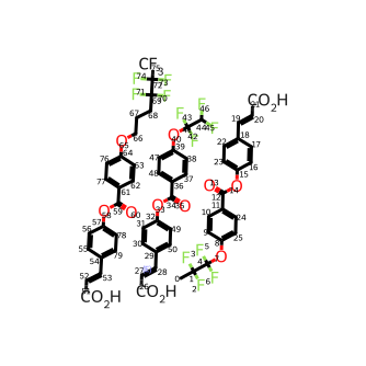 CC(F)(F)C(F)(F)Oc1ccc(C(=O)Oc2ccc(C=CC(=O)O)cc2)cc1.O=C(O)/C=C/c1ccc(OC(=O)c2ccc(OC(F)(F)C(F)F)cc2)cc1.O=C(O)C=Cc1ccc(OC(=O)c2ccc(OCCCC(F)(F)C(F)(F)C(F)(F)F)cc2)cc1